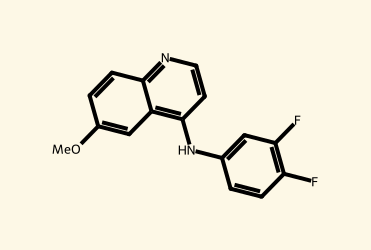 COc1ccc2nccc(Nc3ccc(F)c(F)c3)c2c1